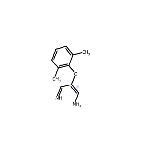 Cc1cccc(C)c1O/C(C=N)=C/N